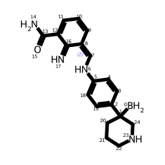 BC1(c2ccc(N/C=C3/C=CC=C(C(N)=O)C3=N)cc2)CCCNC1